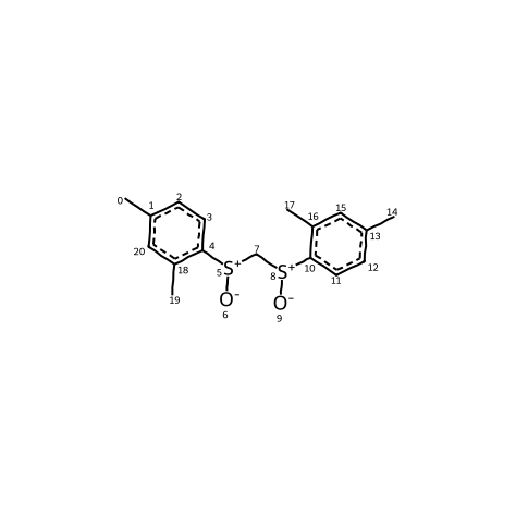 Cc1ccc([S+]([O-])C[S+]([O-])c2ccc(C)cc2C)c(C)c1